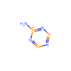 N[PH]1=NP=NP=N1